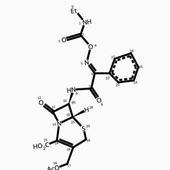 CCNC(=O)ON=C(C(=O)N[C@@H]1C(=O)N2C(C(=O)O)=C(COC(C)=O)CS[C@@H]12)c1ccccc1